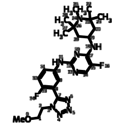 COCCn1nnnc1-c1cc(Nc2ncc(F)c(NC3CC(C)(C)N(C)C(C)(C)C3)n2)ccc1F